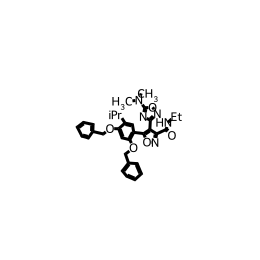 CCNC(=O)c1noc(-c2cc(C(C)C)c(OCc3ccccc3)cc2OCc2ccccc2)c1-c1noc(N(C)C)n1